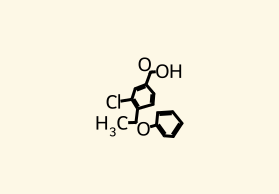 CC(Oc1ccccc1)c1ccc(C(=O)O)cc1Cl